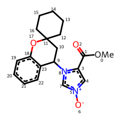 COC(=O)c1c[n+]([O-])cn1C1CC2(CCCCC2)Oc2ccccc21